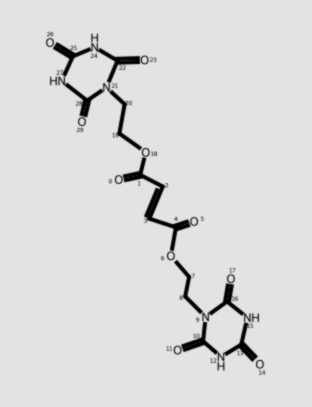 O=C(/C=C/C(=O)OCCn1c(=O)[nH]c(=O)[nH]c1=O)OCCn1c(=O)[nH]c(=O)[nH]c1=O